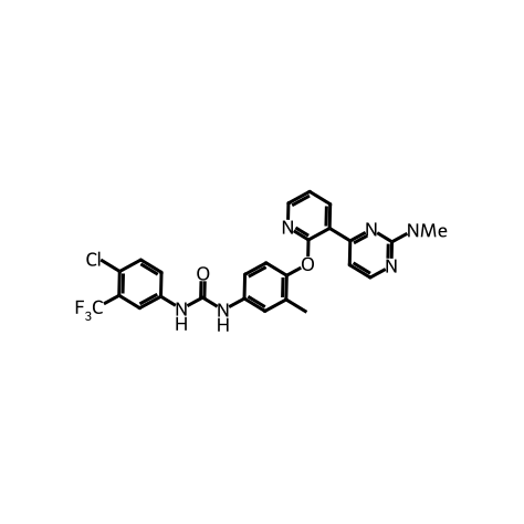 CNc1nccc(-c2cccnc2Oc2ccc(NC(=O)Nc3ccc(Cl)c(C(F)(F)F)c3)cc2C)n1